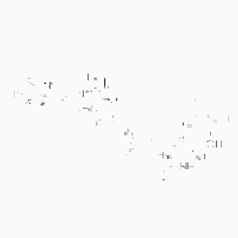 CCCCN(CCCCN(CCCNC(=O)CCn1cc([C@@H]2O[C@H](CC)[C@H](O)C2O)c(=O)[nH]c1=O)C(=O)C(F)(F)F)C(=O)C(F)(F)F